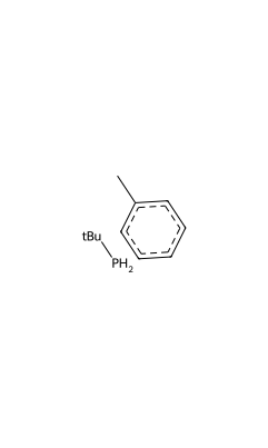 CC(C)(C)P.Cc1ccccc1